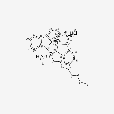 CCCCCCC[CH2][Zr]([SiH2]C)([CH]1c2ccccc2-c2ccccc21)[CH]1c2ccccc2-c2ccccc21.Cl.Cl